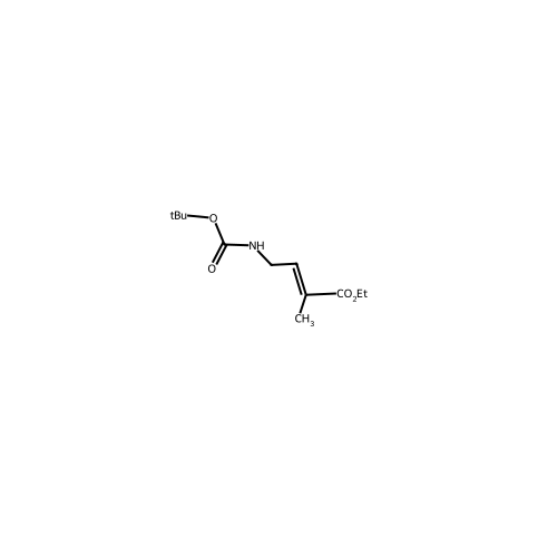 CCOC(=O)/C(C)=C/CNC(=O)OC(C)(C)C